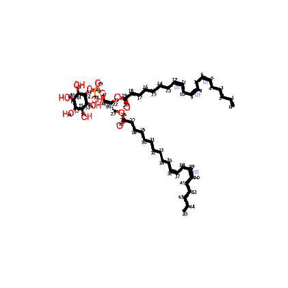 CCCCC/C=C\C/C=C\C/C=C\CCCCCCC(=O)O[C@H](COC(=O)CCCCCCCCC/C=C\C/C=C\CCCCC)COP(=O)(O)OC1C(O)C(O)C(O)[C@@H](O)C1O